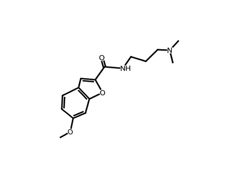 COc1ccc2cc(C(=O)NCCCN(C)C)oc2c1